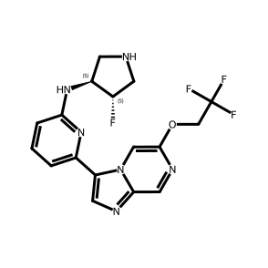 F[C@H]1CNC[C@@H]1Nc1cccc(-c2cnc3cnc(OCC(F)(F)F)cn23)n1